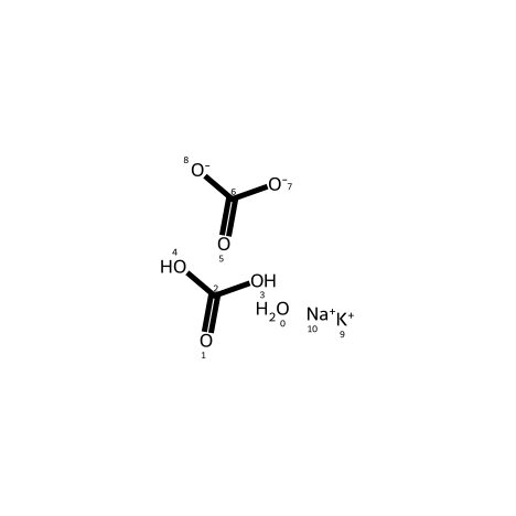 O.O=C(O)O.O=C([O-])[O-].[K+].[Na+]